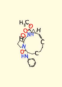 COC(=O)[C@@]12C[C@H]1/C=C\CCCCC[C@H](Nc1ccccc1)C(=O)N1CCC[C@H]1C(=O)N2